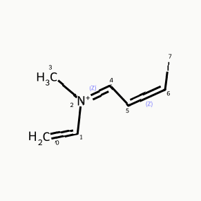 C=C/[N+](C)=C\C=C/I